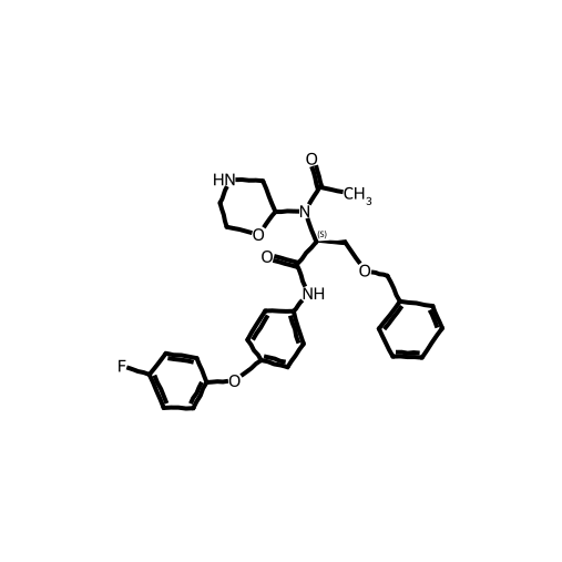 CC(=O)N(C1CNCCO1)[C@@H](COCc1ccccc1)C(=O)Nc1ccc(Oc2ccc(F)cc2)cc1